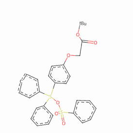 CC(C)(C)OC(=O)COc1ccc(S(OS(=O)(=O)c2ccccc2)(c2ccccc2)c2ccccc2)cc1